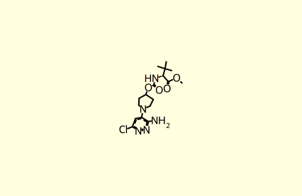 COC(=O)[C@@H](NC(=O)OC1CCN(c2cc(Cl)nnc2N)CC1)C(C)(C)C